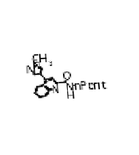 CCCCCNC(=O)c1cc(-c2cnn(C)c2)c2ccccc2n1